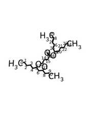 CCCCCC(CCCCC)OC(=O)CCC(=O)OC(CCCCC)CCCCC